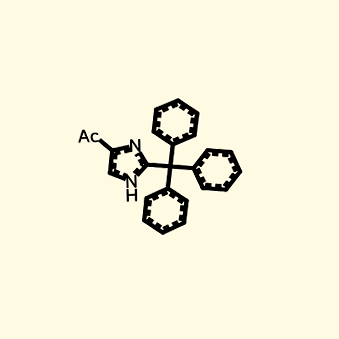 CC(=O)c1c[nH]c(C(c2ccccc2)(c2ccccc2)c2ccccc2)n1